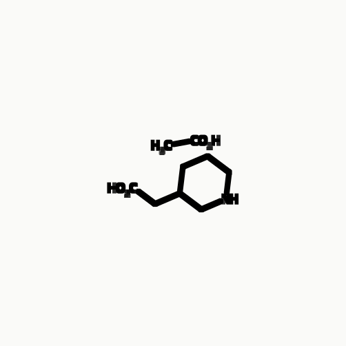 CC(=O)O.O=C(O)CC1CCCNC1